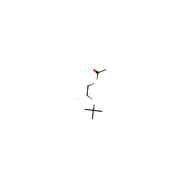 CC(=O)SC[C@@H](C)SC(C)(C)C